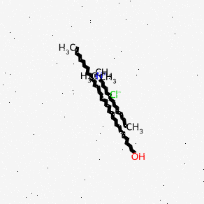 CCCCCCCCCCCCCCCCCCCCCCCCCCCCCCCCCCO.CCCCCCCCCCCCCCCC[N+](C)(C)C.[Cl-]